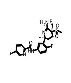 C[C@@]1(c2cc(NC(=O)c3ccc(F)cn3)ccc2F)CC[C@@](CF)(S(C)(=O)=O)C(N)=N1